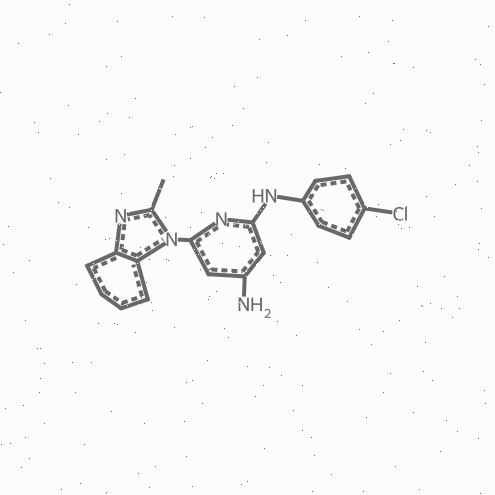 Cc1nc2ccccc2n1-c1cc(N)cc(Nc2ccc(Cl)cc2)n1